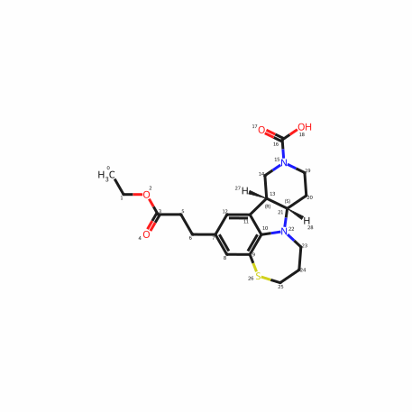 CCOC(=O)CCc1cc2c3c(c1)[C@@H]1CN(C(=O)O)CC[C@@H]1N3CCCS2